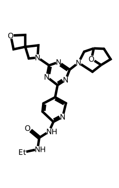 CCNC(=O)Nc1ccc(-c2nc(N3CC4CCC(C3)O4)nc(N3CC4(COC4)C3)n2)cn1